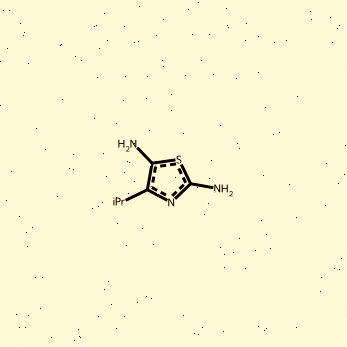 CC(C)c1nc(N)sc1N